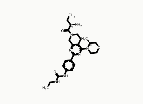 CCNC(=O)Nc1ccc(-c2nc3c(c(N4CCOC[C@@H]4C)n2)CCN(C(=O)[C@H](N)CC)C3)cc1